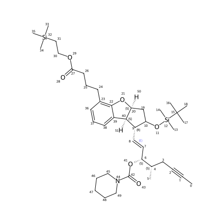 CC#CC[C@H](C)[C@@H](/C=C/[C@H]1C(O[Si](C)(C)C(C)(C)C)C[C@@H]2Oc3c(CCCC(=O)OCC[Si](C)(C)C)cccc3[C@@H]21)OC(=O)N1CCCCC1